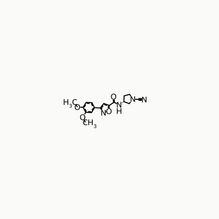 COc1ccc(-c2cc(C(=O)N[C@@H]3CCN(C#N)C3)on2)cc1OC